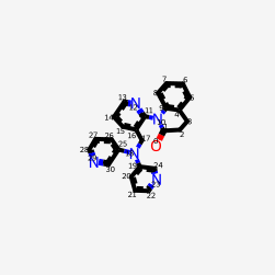 O=C1CCc2ccccc2N1c1ncccc1CN(c1cccnc1)c1cccnc1